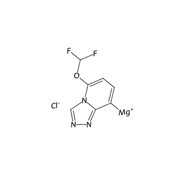 FC(F)Oc1cc[c]([Mg+])c2nncn12.[Cl-]